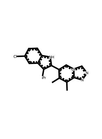 Cc1c(-c2[nH]c3ccc(Cl)cc3c2C(C)C)cn2cnnc2c1C